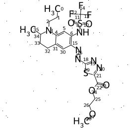 CCCN1c2cc(NS(=O)(=O)C(F)(F)F)c(N=Nc3nnc(C(=O)OCCOC)s3)cc2CCC1C